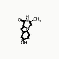 C[C@H]1Cn2c(cc3cc(O)ccc32)C(=O)N1